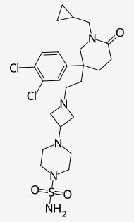 NS(=O)(=O)N1CCN(C2CN(CCC3(c4ccc(Cl)c(Cl)c4)CCC(=O)N(CC4CC4)C3)C2)CC1